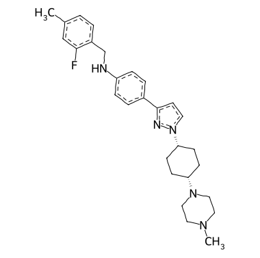 Cc1ccc(CNc2ccc(-c3ccn([C@H]4CC[C@@H](N5CCN(C)CC5)CC4)n3)cc2)c(F)c1